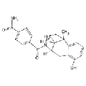 CC12CCN(C(=O)c3ccc(C(N)=O)cc3)[C@H](Cc3c(O)cccc31)C2(C)C